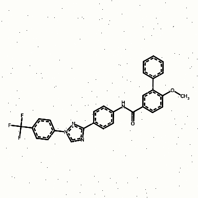 COc1ccc(C(=O)Nc2ccc(-c3ncn(-c4ccc(C(F)(F)F)cc4)n3)cc2)cc1-c1ccccc1